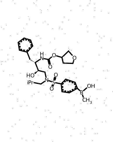 CB(O)c1ccc(S(=O)(=O)N(CC(C)C)C[C@@H](O)[C@H](Cc2ccccc2)NC(=O)OC2CCOC2)cc1